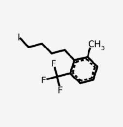 Cc1cccc(C(F)(F)F)c1CCCCI